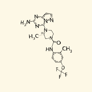 Cc1cc(OC(F)(F)F)ccc1NC(=O)N1CCN(c2nc(N)nc3ccnn23)[C@@H](C)C1